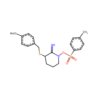 COc1ccc(CSC2CCCN(OS(=O)(=O)c3ccc(C)cc3)C2=N)cc1